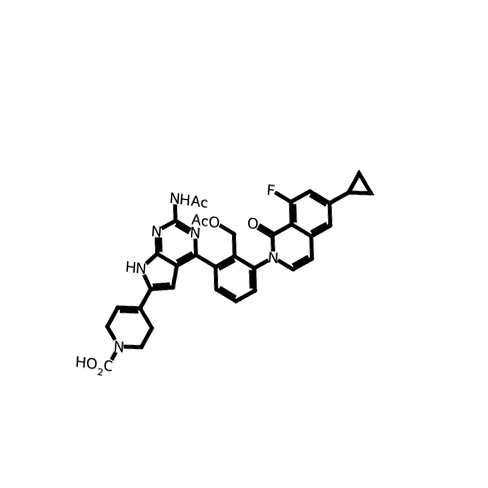 CC(=O)Nc1nc(-c2cccc(-n3ccc4cc(C5CC5)cc(F)c4c3=O)c2COC(C)=O)c2cc(C3=CCN(C(=O)O)CC3)[nH]c2n1